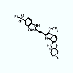 CCS(=O)(=O)c1ccc(NCC#Cc2nc3c(N[C@@H]4CCN(C)C[C@@H]4F)cccn3c2SC(F)(F)F)c(OC)c1